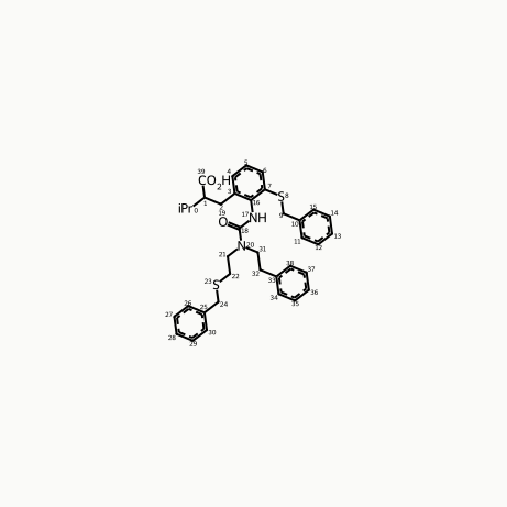 CC(C)C(Cc1cccc(SCc2ccccc2)c1NC(=O)N(CCSCc1ccccc1)CCc1ccccc1)C(=O)O